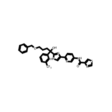 O=C(Nc1ccc(-c2c[nH]c(C(O)(CCCOCc3ccccc3)c3cccc(C(F)(F)F)c3)n2)nc1)c1cscn1